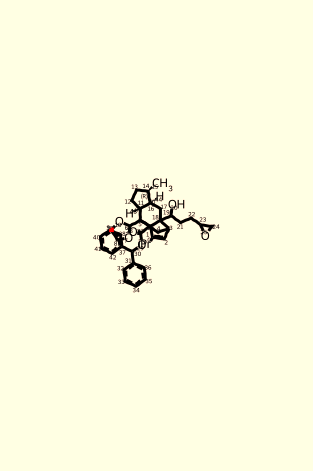 CC(C)C1=CC2CC3(C4OCCO4)[C@@H]4CC[C@@H](C)[C@H]4CC2(C(O)CCC2CO2)C13C(=O)OC(c1ccccc1)c1ccccc1